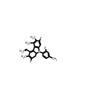 C=CC1=C2c3c(cc(F)c(C)c3C)N(c3ccc(C)cc3F)C2CC(F)=C1C